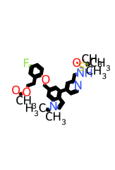 CC(=O)OCCc1cc(F)ccc1OCc1cc(-c2ccnc(CN[S@@+]([O-])C(C)(C)C)c2)c2ccn(C(C)C)c2c1